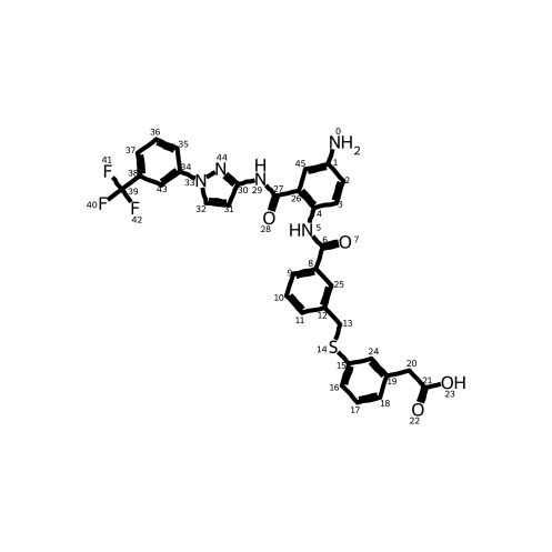 Nc1ccc(NC(=O)c2cccc(CSc3cccc(CC(=O)O)c3)c2)c(C(=O)Nc2ccn(-c3cccc(C(F)(F)F)c3)n2)c1